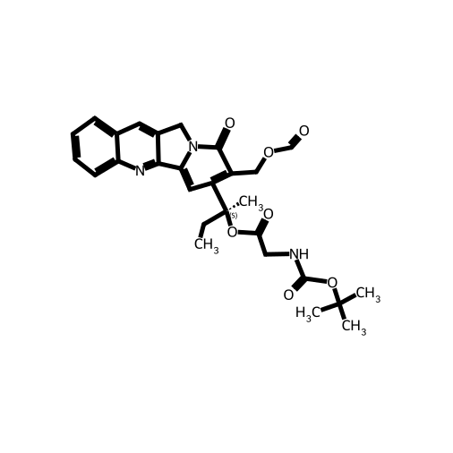 CC[C@](C)(OC(=O)CNC(=O)OC(C)(C)C)c1cc2n(c(=O)c1COC=O)Cc1cc3ccccc3nc1-2